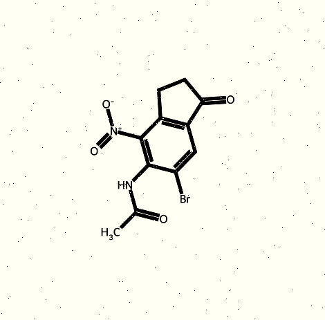 CC(=O)Nc1c(Br)cc2c(c1[N+](=O)[O-])CCC2=O